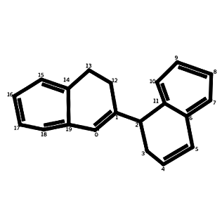 [C]1=C(C2CC=Cc3ccccc32)CCc2ccccc21